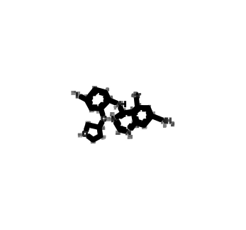 Nc1cc(Br)c2c(Nc3ccc(F)cc3OC3CCOC3)ncnc2c1